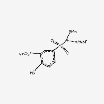 CCCCCCN(CCCCCC)S(=O)(=O)c1ccc(S)c(C(=O)O)c1